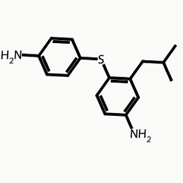 CC(C)Cc1cc(N)ccc1Sc1ccc(N)cc1